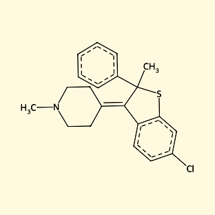 CN1CCC(=C2c3ccc(Cl)cc3SC2(C)c2ccccc2)CC1